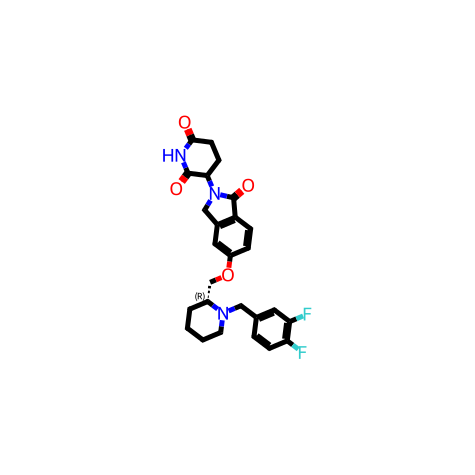 O=C1CCC(N2Cc3cc(OC[C@H]4CCCCN4Cc4ccc(F)c(F)c4)ccc3C2=O)C(=O)N1